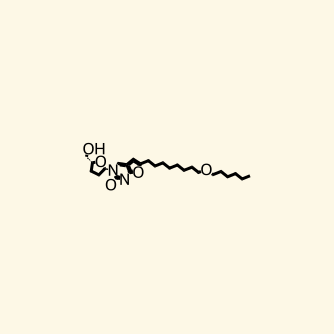 CCCCCCOCCCCCCCCc1cc2cn([C@@H]3CC[C@H](CO)O3)c(=O)nc2o1